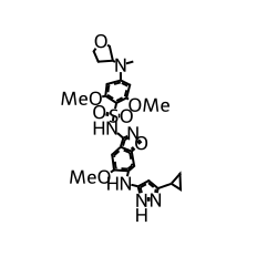 COc1cc2c(NS(=O)(=O)c3c(OC)cc(N(C)C4CCOC4)cc3OC)noc2cc1Nc1cc(C2CC2)n[nH]1